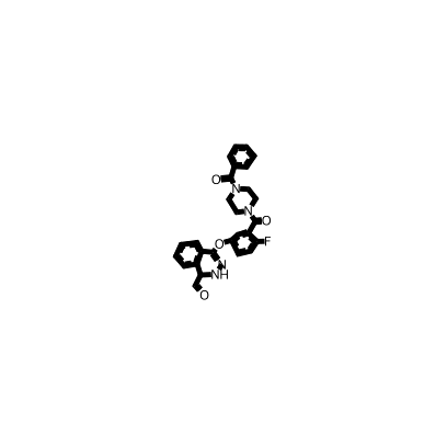 O=CC1NN=C(Oc2ccc(F)c(C(=O)N3CCN(C(=O)c4ccccc4)CC3)c2)c2ccccc21